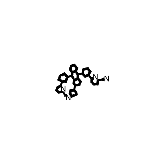 N#Cc1cccc(-c2cccc(-c3c4ccccc4c(-c4cccc(-c5cccc(C#N)n5)c4)c4cc(-c5ccccc5)ccc34)c2)n1